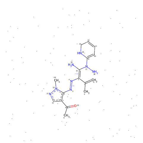 C=C(C)C(/N=N/c1c(C(C)=O)cnn1C)=C(/N)N(N)C1=CC=CCN1